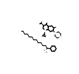 CCCCCCCCCCCCC(c1ccccc1)S(=O)(=O)O.O=C(O)c1cn(C2CC2)c2cc(N3CCNCC3)c(F)cc2c1=O